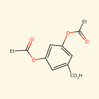 CCC(=O)Oc1cc(OC(=O)CC)cc(C(=O)O)c1